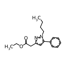 CCCCn1nc(CC(=O)OCC)cc1-c1ccccc1